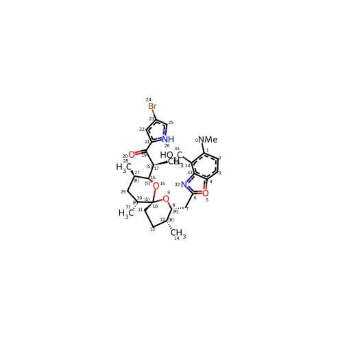 CNc1ccc2oc(C[C@H]3O[C@@]4(CC[C@H]3C)O[C@H]([C@H](C)C(=O)c3cc(Br)c[nH]3)[C@H](C)C[C@H]4C)nc2c1C(=O)O